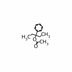 CCC(CC)(OC(C)=O)c1ccccc1